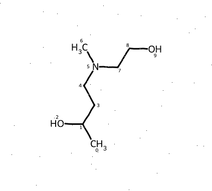 CC(O)CCN(C)CCO